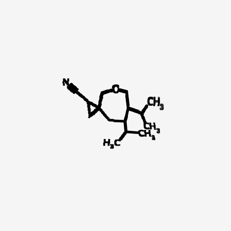 CC(C)C1COCC2(CC1C(C)C)CC2C#N